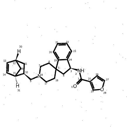 O=C(N[C@H]1CC2(CCN(C[C@@H]3C[C@H]4C=C[C@H]3C4)CC2)c2ccccc21)c1ccoc1